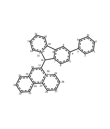 c1ccc(-c2ccc3c(c2)-c2cccc[n+]2C3c2cc3ccccc3c3cccc[n+]23)cc1